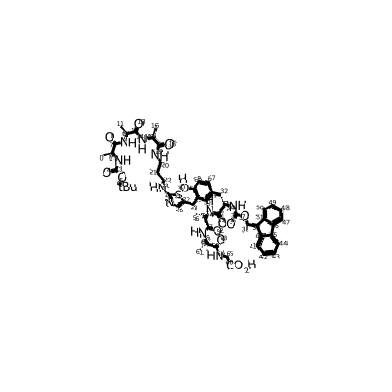 C[C@H](NC(=O)OC(C)(C)C)C(=O)N[C@@H](C)C(=O)N[C@@H](C)C(=O)NCCCNc1ncc(Cc2cc(C[C@H](NC(=O)OCC3c4ccccc4-c4ccccc43)C(=O)N[C@@H](C)C(=O)N[C@@H](C)C(=O)NCC(=O)O)ccc2O)s1